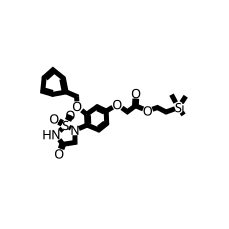 C[Si](C)(C)CCOC(=O)COc1ccc(N2CC(=O)NS2(=O)=O)c(OCc2ccccc2)c1